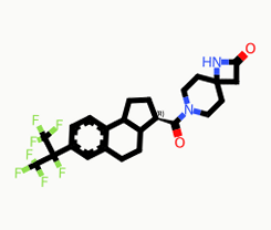 O=C1CC2(CCN(C(=O)[C@@H]3CCC4c5ccc(C(F)(C(F)(F)F)C(F)(F)F)cc5CCC43)CC2)N1